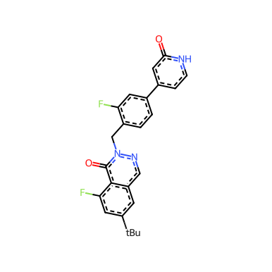 CC(C)(C)c1cc(F)c2c(=O)n(Cc3ccc(-c4cc[nH]c(=O)c4)cc3F)ncc2c1